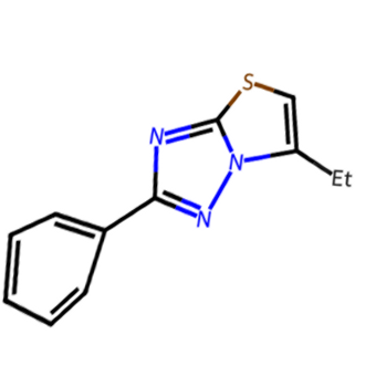 CCc1csc2nc(-c3ccccc3)nn12